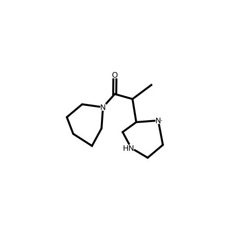 CC(C(=O)N1CCCCC1)C1CNCC[N]1